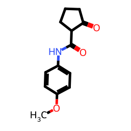 COc1ccc(NC(=O)C2CCCC2=O)cc1